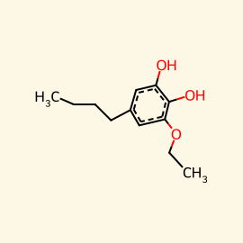 CCCCc1cc(O)c(O)c(OCC)c1